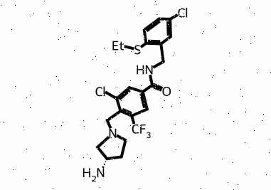 CCSc1ccc(Cl)cc1CNC(=O)c1cc(Cl)c(CN2CC[C@H](N)C2)c(C(F)(F)F)c1